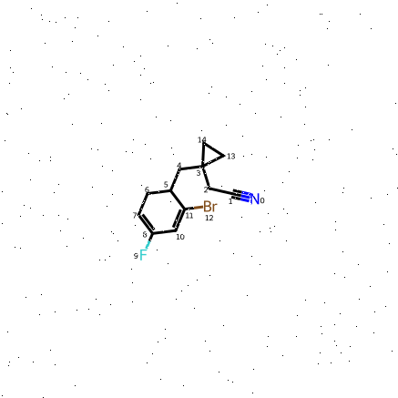 N#CCC1(CC2CC=C(F)C=C2Br)CC1